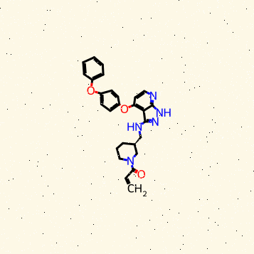 C=CC(=O)N1CCC[C@@H](CNc2n[nH]c3nccc(Oc4ccc(Oc5ccccc5)cc4)c23)C1